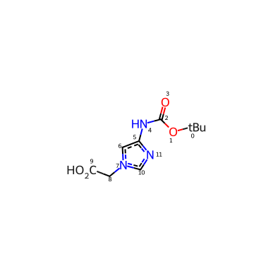 CC(C)(C)OC(=O)Nc1cn(CC(=O)O)cn1